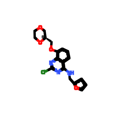 Clc1nc(NCc2ccco2)c2cccc(OC[C@H]3COCCO3)c2n1